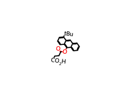 CC(C)(C)c1cccc2c(OC(=O)CCC(=O)O)c3ccccc3cc12